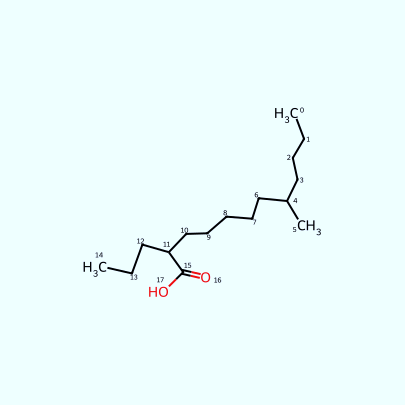 CCCCC(C)CCCCCC(CCC)C(=O)O